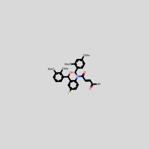 CCCC(=O)/C=C/C(=O)N(Cc1ccc(OC)cc1OC)c1ccc(F)cc1C(O)c1cccc(OC)c1OC